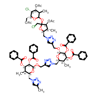 CC(=O)OC[C@H]1OC(OC2(CCl)O[C@H](Cn3cc(CO[C@H]4O[C@H](Cn5cc(CO[C@H]6O[C@H](Cn7cc(C)nn7)[C@@H](C)[C@H](OC(=O)c7ccccc7)[C@@H]6OC(=O)c6ccccc6)nn5)[C@@H](C)[C@H](OC(=O)c5ccccc5)[C@@H]4OC(=O)c4ccccc4)nn3)[C@@H](C)[C@@H]2OC(C)=O)C(C)[C@@H](OC(C)=O)[C@H]1Cl